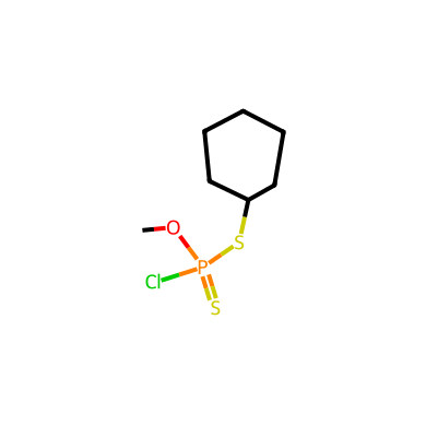 COP(=S)(Cl)SC1CCCCC1